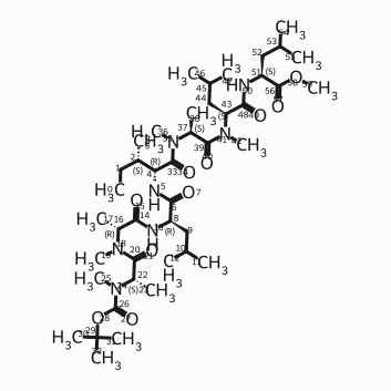 CC[C@H](C)[C@@H](NC(=O)[C@@H](CC(C)C)NC(=O)[C@@H](C)N(C)C(=O)[C@H](C)N(C)C(=O)OC(C)(C)C)C(=O)N(C)[C@@H](C)C(=O)N(C)[C@@H](CC(C)C)C(=O)N[C@@H](CC(C)C)C(=O)OC